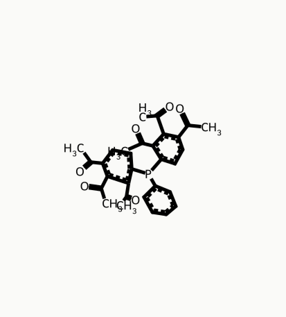 CC(=O)c1ccc(P(c2ccccc2)c2ccc(C(C)=O)c(C(C)=O)c2C(C)=O)c(C(C)=O)c1C(C)=O